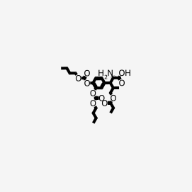 CCCCOC(=O)Oc1ccc(C(C(C)COC(=O)CC)[C@H](N)C(=O)O)cc1OC(=O)OCCCC